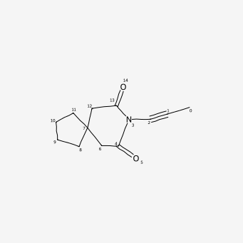 CC#CN1C(=O)CC2(CCCC2)CC1=O